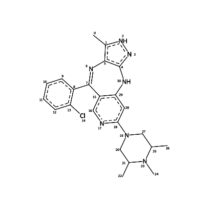 Cc1[nH]nc2c1N=C(c1ccccc1Cl)c1cnc(N3CC(C)N(C)C(C)C3)cc1N2